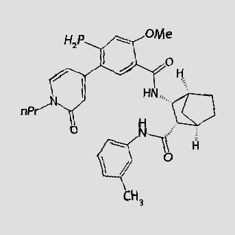 CCCn1ccc(-c2cc(C(=O)N[C@@H]3[C@H]4CC[C@H](C4)[C@@H]3C(=O)Nc3cccc(C)c3)c(OC)cc2P)cc1=O